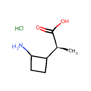 C[C@H](C(=O)O)C1CCC1N.Cl